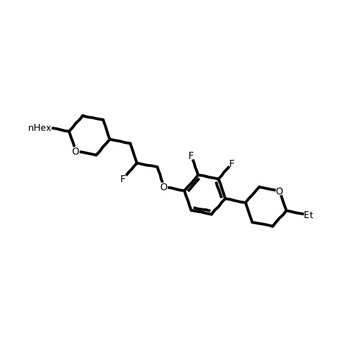 CCCCCCC1CCC(CC(F)COc2ccc(C3CCC(CC)OC3)c(F)c2F)CO1